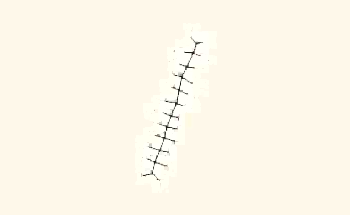 F[C](F)C(F)(F)C(F)(F)C(F)(F)C(F)(F)C(F)(F)C(F)(F)C(F)(F)C(F)(F)C(F)(F)C(F)(F)[C](F)F